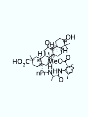 CC1(C)[C@@H](O)CC[C@]2(C)[C@H]3C(=O)C=C4[C@@H]5C[C@@](C)(C(=O)O)CC[C@]5(C)CC[C@@]4(C)[C@]3(C)CC[C@@H]12.CCCNC(C)C(=O)Nc1c(C)csc1C(=O)OC